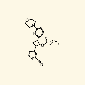 CSC(=S)OC1C(c2ccnc(C#N)c2)CC1c1cccc(N2CCOCC2)n1